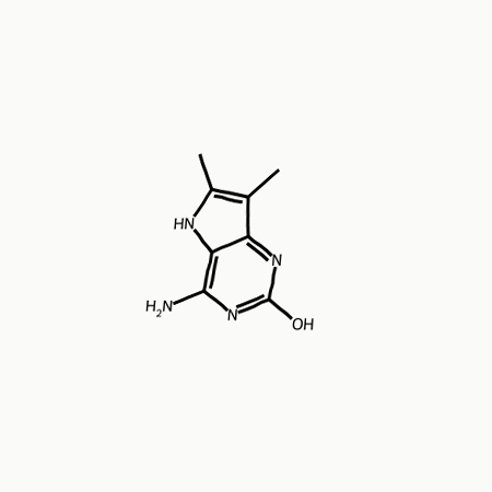 Cc1[nH]c2c(N)nc(O)nc2c1C